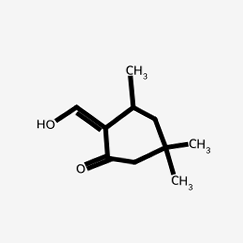 CC1CC(C)(C)CC(=O)C1=CO